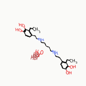 Br.Br.CCc1c(CCNCCCCCNCCc2ccc(O)c(O)c2CC)ccc(O)c1O.O